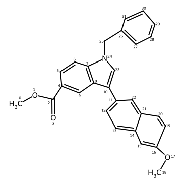 COC(=O)c1ccc2c(c1)c(-c1ccc3cc(OC)ccc3c1)cn2Cc1ccccc1